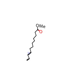 C=C/C=C/CCCCCCCC(=O)OC